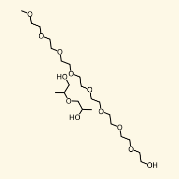 CC(O)COC(C)CO.COCCOCCOCCOCCOCCOCCOCCOCCO